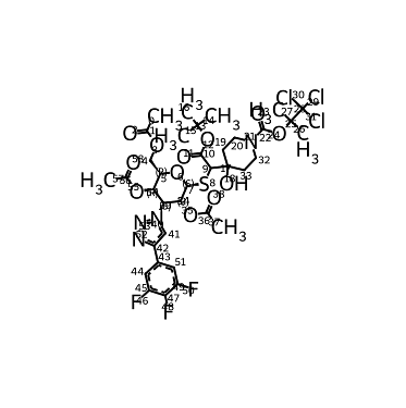 CC(=O)OC[C@H]1O[C@@H](SC(C(=O)OC(C)(C)C)C2(O)CCN(C(=O)OC(C)(C)C(Cl)(Cl)Cl)CC2)[C@H](OC(C)=O)[C@@H](n2cc(-c3cc(F)c(F)c(F)c3)nn2)[C@H]1OC(C)=O